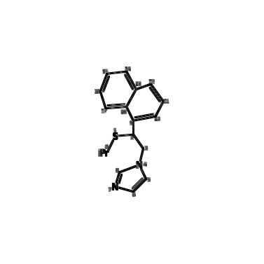 CC(C)SC(Cn1ccnc1)c1cccc2ccccc12